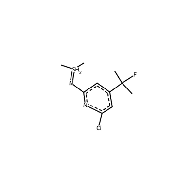 C[SH2](C)=Nc1cc(C(C)(C)F)cc(Cl)n1